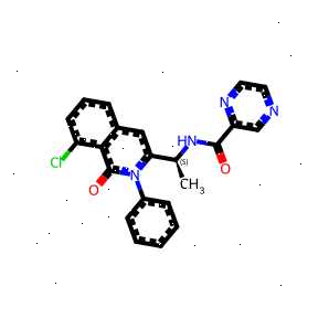 C[C@H](NC(=O)c1cnccn1)c1cc2cccc(Cl)c2c(=O)n1-c1ccccc1